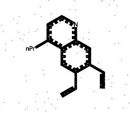 C=Cc1cc2nccc(CCC)c2cc1C=C